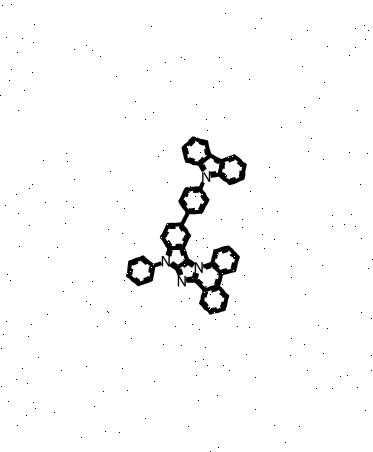 c1ccc(-n2c3ccc(-c4ccc(-n5c6ccccc6c6ccccc65)cc4)cc3c3c2nc2c4ccccc4c4ccccc4n23)cc1